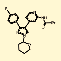 CC(C)C(=O)Nc1cc(-c2cn(C3CCCCO3)nc2-c2ccc(F)cc2)ccn1